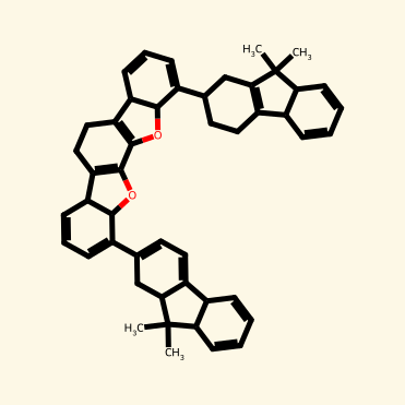 CC1(C)C2=C(CCC(C3=CC=CC4C5=C(OC34)C3=C(CC5)C4C=CC=C(C5=CC=C6C7C=CC=CC7C(C)(C)C6C5)C4O3)C2)C2C=CC=CC21